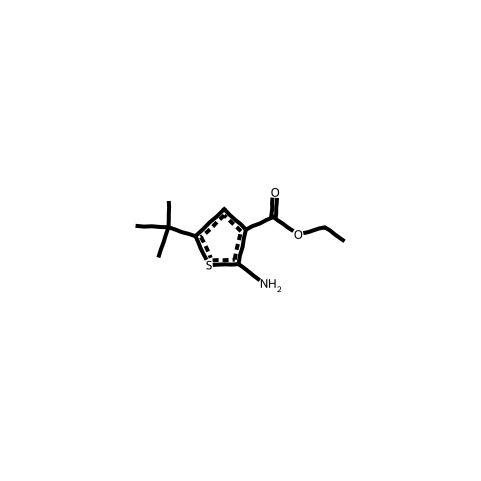 CCOC(=O)c1cc(C(C)(C)C)sc1N